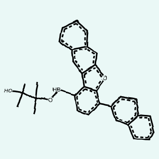 CC(C)(O)C(C)(C)OBc1ccc(-c2ccc3ccccc3c2)c2oc3cc4ccccc4cc3c12